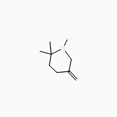 C=C1CCC(C)(C)N(C(C)C)C1